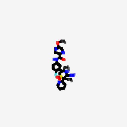 COc1cnc(C(=O)Nc2ccc(F)c([C@]3(C)CS(=O)(=O)[C@@](C)(c4ccccn4)C(=N)N3)c2)cn1